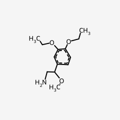 CCOc1ccc(C(CN)OC)cc1OCC